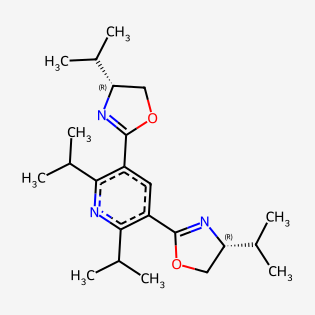 CC(C)c1nc(C(C)C)c(C2=N[C@H](C(C)C)CO2)cc1C1=N[C@H](C(C)C)CO1